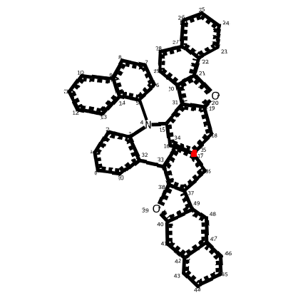 c1ccc(N(c2cccc3ccccc23)c2cccc3oc4c5ccccc5ccc4c23)c(-c2cccc3c2oc2cc4ccccc4cc23)c1